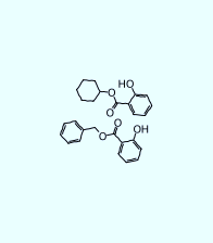 O=C(OC1CCCCC1)c1ccccc1O.O=C(OCc1ccccc1)c1ccccc1O